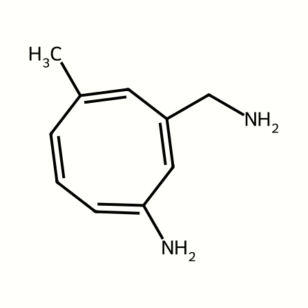 CC1=C/C(CN)=C\C(N)=C/C=C\1